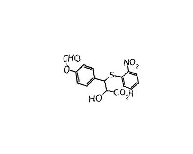 O=COc1ccc(C(Sc2ccccc2[N+](=O)[O-])C(O)C(=O)O)cc1